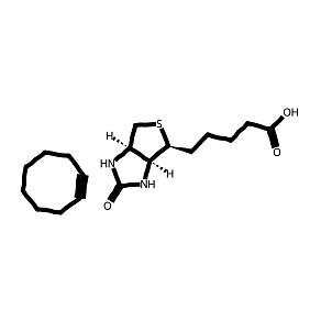 C1#CCCCCCC1.O=C(O)CCCC[C@@H]1SC[C@@H]2NC(=O)N[C@@H]21